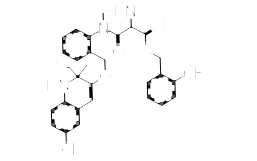 CN(C(=O)C(N)C(=O)OCc1ccccc1C(F)(F)F)c1ccccc1COC1=Cc2cc(Cl)ccc2NC1(C)Cl